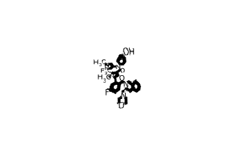 Cn1cc(N(C(=O)c2cc(-c3cc(F)ccc3C(=O)N3Cc4ccccc4C[C@H]3CN3CCOCC3)n(C)c2C(F)(F)F)c2ccc(O)cc2)cn1